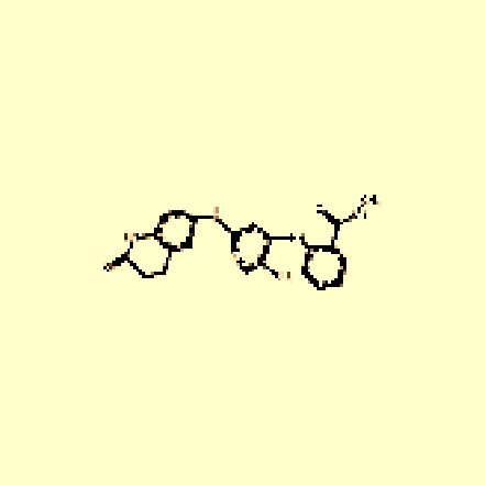 CNC(=O)c1ccccc1Nc1nc(Nc2ccc3c(c2)CCC(=O)N3)ncc1C